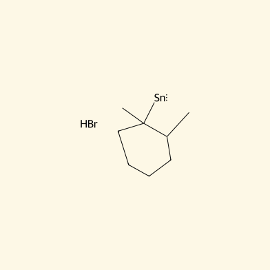 Br.CC1CCCC[C]1(C)[Sn]